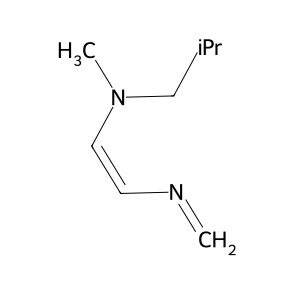 C=N/C=C\N(C)CC(C)C